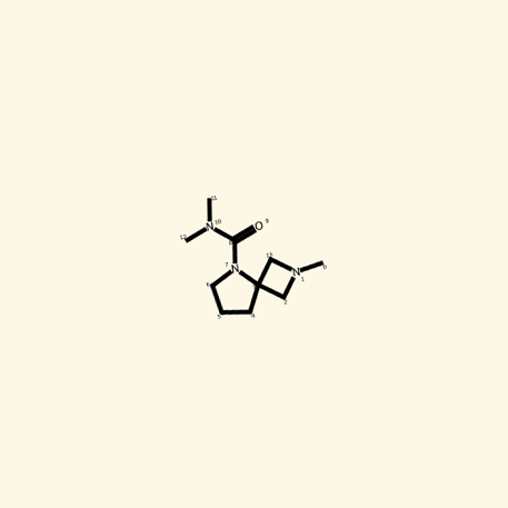 CN1CC2(CCCN2C(=O)N(C)C)C1